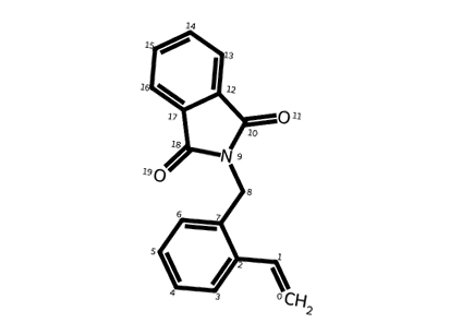 C=Cc1ccccc1CN1C(=O)c2ccccc2C1=O